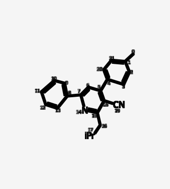 Cc1ccc(-c2cc(-c3ccccc3)nc(CC(C)C)c2C#N)cc1